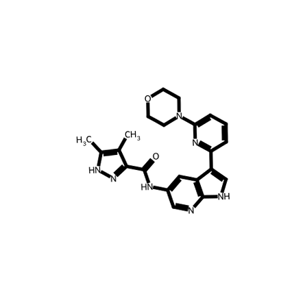 Cc1[nH]nc(C(=O)Nc2cnc3[nH]cc(-c4cccc(N5CCOCC5)n4)c3c2)c1C